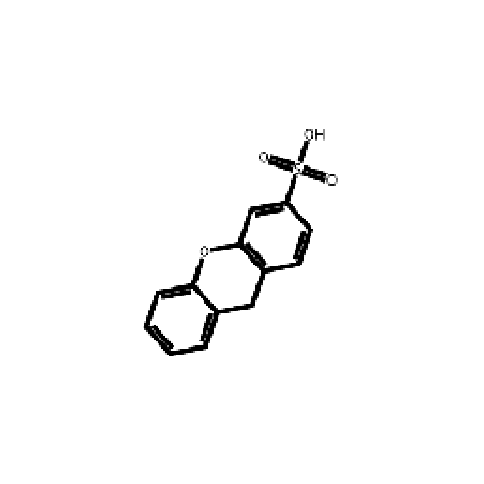 O=S(=O)(O)c1ccc2c(c1)Oc1ccccc1C2